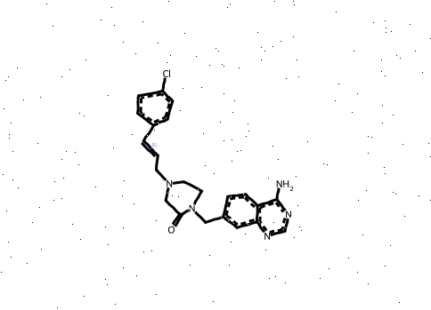 Nc1ncnc2cc(CN3CCN(C/C=C/c4ccc(Cl)cc4)CC3=O)ccc12